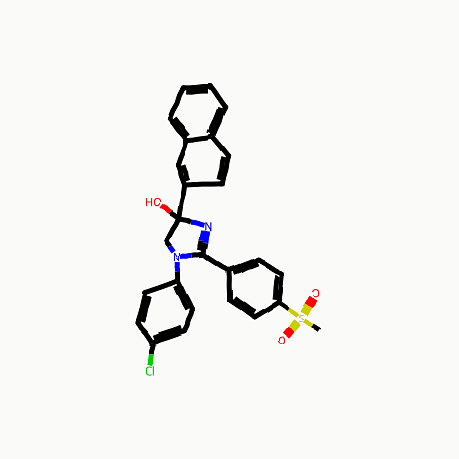 CS(=O)(=O)c1ccc(C2=NC(O)(c3ccc4ccccc4c3)CN2c2ccc(Cl)cc2)cc1